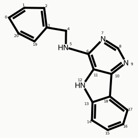 c1ccc(CNc2ncnc3c2[nH]c2ccccc23)cc1